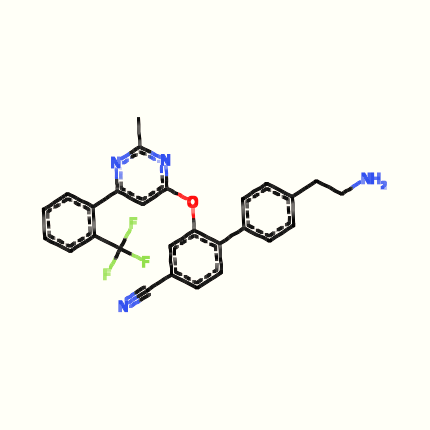 Cc1nc(Oc2cc(C#N)ccc2-c2ccc(CCN)cc2)cc(-c2ccccc2C(F)(F)F)n1